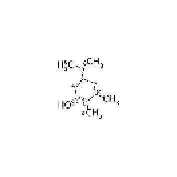 CC1=C(O)C=C(C(C)C)CC1C